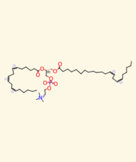 CCCCC/C=C\C/C=C\C/C=C\CCCCC(=O)O[C@H](COC(=O)CCCCCCCCCCC/C=C\C/C=C\CCCCC)COP(=O)([O-])OCC[N+](C)(C)C